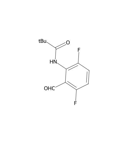 CC(C)(C)C(=O)Nc1c(F)ccc(F)c1C=O